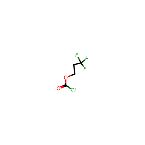 O=C(Cl)OCCC(F)(F)F